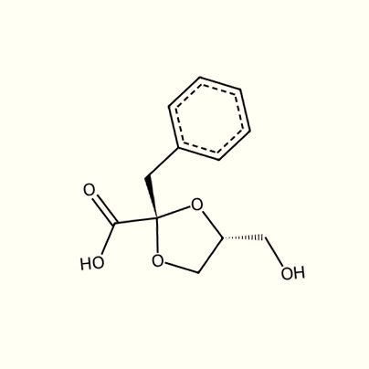 O=C(O)[C@@]1(Cc2ccccc2)OC[C@@H](CO)O1